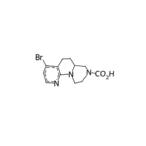 O=C(O)N1CCN2c3nccc(Br)c3CCC2C1